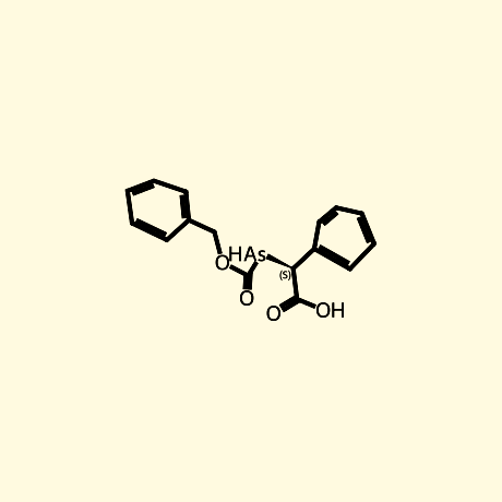 O=C(OCc1ccccc1)[AsH][C@H](C(=O)O)c1ccccc1